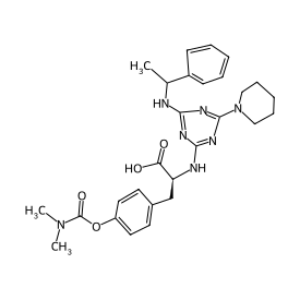 CC(Nc1nc(N[C@@H](Cc2ccc(OC(=O)N(C)C)cc2)C(=O)O)nc(N2CCCCC2)n1)c1ccccc1